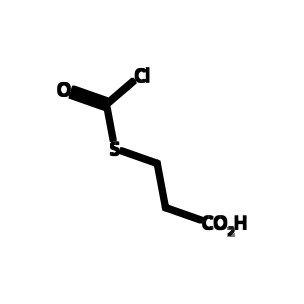 O=C(O)CCSC(=O)Cl